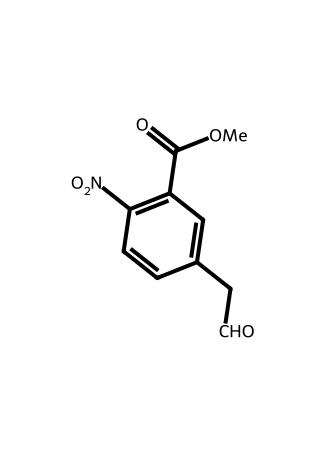 COC(=O)c1cc(CC=O)ccc1[N+](=O)[O-]